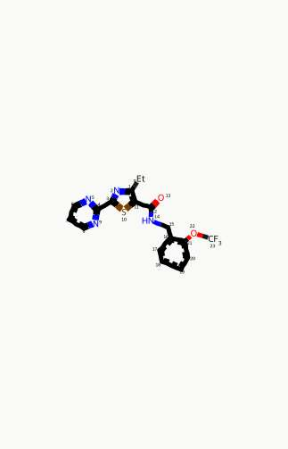 CCc1nc(-c2ncccn2)sc1C(=O)NCc1ccccc1OC(F)(F)F